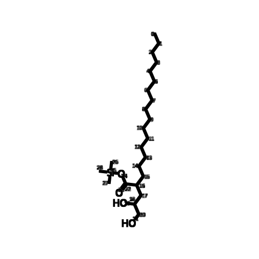 CCCCCCCCCCCCCCCCC(CC(O)CO)C(=O)O[Si](C)(C)C